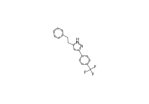 FC(F)(F)c1ccc(-c2cc(CCc3ccccc3)[nH]n2)cc1